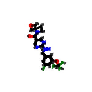 O=C(c1cnc(NCc2cc(F)cc(OC(F)(F)F)c2)nc1)N1CCC12COC2